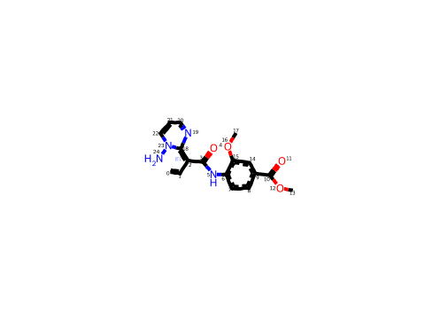 C=C/C(C(=O)Nc1ccc(C(=O)OC)cc1OC)=C1/N=CC=CN1N